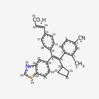 Cc1cc(C#N)ccc1/C(=C(\c1ccc(/C=C/C(=O)O)cc1)c1ccc2scnc2c1)C1CCC1